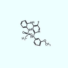 COc1cccc(Nc2ncc(F)c(Nc3ccccc3NS(C)(=O)=O)n2)c1